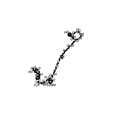 CCc1c2c(nc3ccc(OC(=O)N(C)CCN(C)C(=O)OCc4c5c(n(CC(=O)NCCOCCOCCOCCn6cc(CCC(=O)CCCC(=O)NCCCC[C@@H]7NC(=O)[C@@H](Cc8ccc(O)cc8)NC(=O)CNC(=O)CNC(=O)CNC7=O)nn6)c4C)C(=O)C=C(OC)C5=O)cc13)-c1cc3c(c(=O)n1C2)COC(=O)[C@H]3O